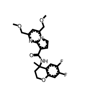 COCc1cc(COC)n2ccc(C(=O)NC3(C)CCOc4cc(F)c(F)cc43)c2n1